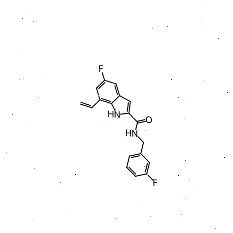 C=Cc1cc(F)cc2cc(C(=O)NCc3cccc(F)c3)[nH]c12